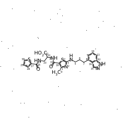 Cc1nc(NCCCc2cccc3[nH]ncc23)sc1C(=O)NC(CNC(=O)c1cccs1)C(=O)O